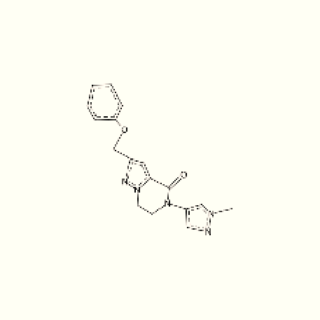 Cn1cc(N2CCn3nc(COc4ccccc4)cc3C2=O)cn1